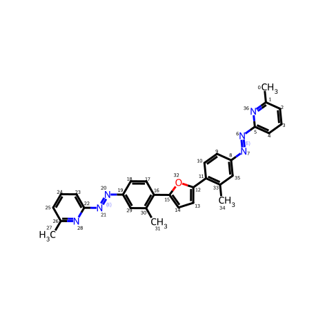 Cc1cccc(/N=N/c2ccc(-c3ccc(-c4ccc(/N=N/c5cccc(C)n5)cc4C)o3)c(C)c2)n1